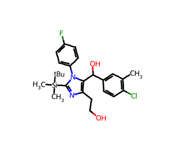 Cc1cc(C(O)c2c(CCO)nc([Si](C)(C)C(C)(C)C)n2-c2ccc(F)cc2)ccc1Cl